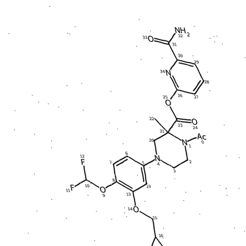 CC(=O)N1CCN(c2ccc(OC(F)F)c(OCC3CC3)c2)CC1(C)C(=O)Oc1cccc(C(N)=O)n1